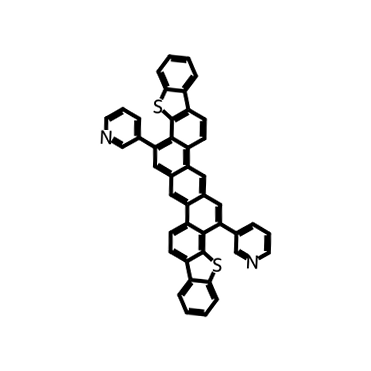 c1cncc(-c2cc3cc4c(cc(-c5cccnc5)c5c4ccc4c6ccccc6sc45)cc3c3ccc4c5ccccc5sc4c23)c1